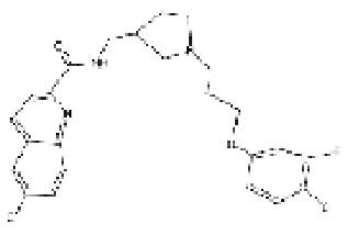 O=C(NCC1CCN(CCCOc2ccc(Cl)c(F)c2)C1)c1ccc2cc(Cl)ccc2n1